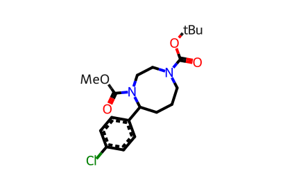 COC(=O)N1CCN(C(=O)OC(C)(C)C)CCCC1c1ccc(Cl)cc1